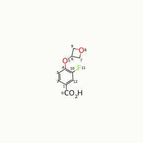 O=C(O)c1ccc(OC2COC2)c(F)c1